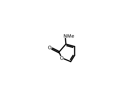 CNc1cccoc1=O